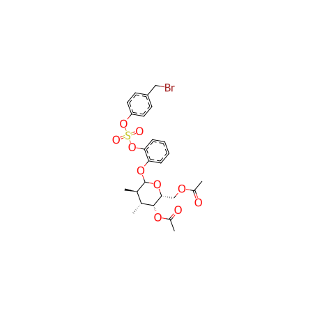 CC(=O)OC[C@H]1OC(Oc2ccccc2OS(=O)(=O)Oc2ccc(CBr)cc2)[C@H](C)[C@@H](C)[C@H]1OC(C)=O